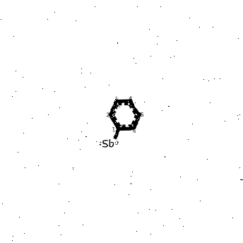 [Sb][c]1ccccc1